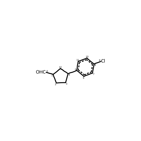 O=CC1CCC(c2ccc(Cl)cc2)C1